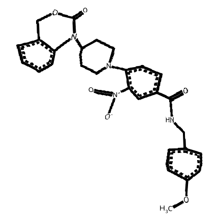 COc1ccc(CNC(=O)c2ccc(N3CCC(N4C(=O)OCc5ccccc54)CC3)c([N+](=O)[O-])c2)cc1